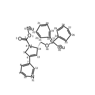 CC(C)(C)OC(=O)N1CC(c2cccnc2)=C[C@H]1CO[Si](c1ccccc1)(c1ccccc1)C(C)(C)C